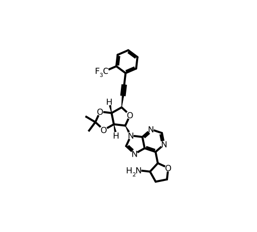 CC1(C)O[C@@H]2[C@H](O1)[C@@H](C#Cc1ccccc1C(F)(F)F)O[C@H]2n1cnc2c(C3OCCC3N)ncnc21